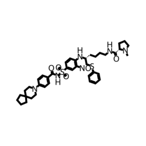 CN1CCC[C@H]1C(=O)NCCCC[C@H](CSc1ccccc1)Nc1ccc(S(=O)(=O)NC(=O)c2ccc(N3CCC4(CCCC4)CC3)cc2)cc1[N+](=O)[O-]